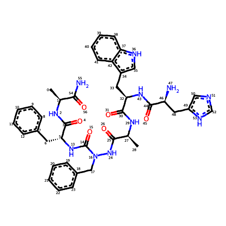 C[C@H](NC(=O)[C@@H](Cc1ccccc1)NC(=O)N(Cc1ccccc1)NC(=O)[C@H](C)NC(=O)[C@@H](Cc1c[nH]c2ccccc12)NC(=O)[C@@H](N)Cc1cnc[nH]1)C(N)=O